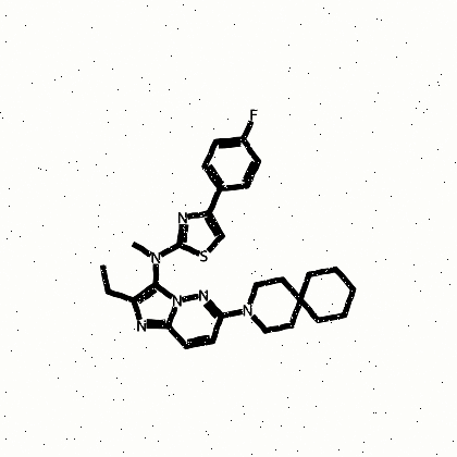 CCc1nc2ccc(N3CCC4(CCCCC4)CC3)nn2c1N(C)c1nc(-c2ccc(F)cc2)cs1